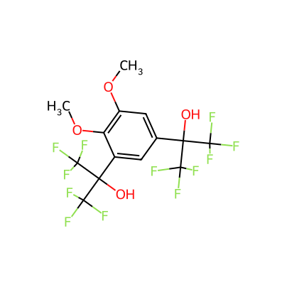 COc1cc(C(O)(C(F)(F)F)C(F)(F)F)cc(C(O)(C(F)(F)F)C(F)(F)F)c1OC